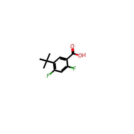 CC(C)(C)c1cc(C(=O)O)c(F)cc1F